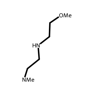 [CH2-][NH2+]CCNCCOC